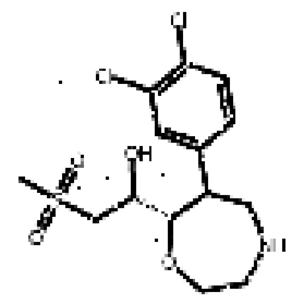 CS(=O)(=O)CC(O)[C@H]1OCCNCC1c1ccc(Cl)c(Cl)c1